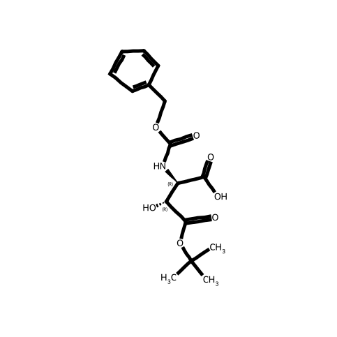 CC(C)(C)OC(=O)[C@H](O)[C@@H](NC(=O)OCc1ccccc1)C(=O)O